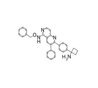 NC1(c2ccc(-c3nc4ccnc(NOCc5ccccc5)c4cc3-c3ccccc3)cc2)CCC1